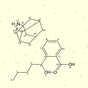 CCCCC(O)c1ccccc1C(=O)O.NC12CC3CC(C1)C(F)C(C3)C2